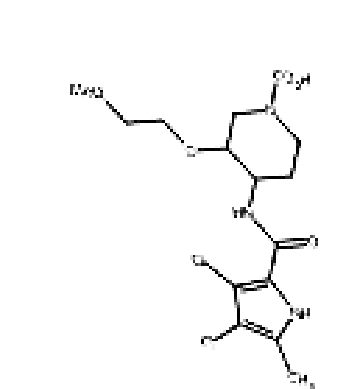 COCCOC1CN(C(=O)O)CCC1NC(=O)c1[nH]c(C)c(Cl)c1Cl